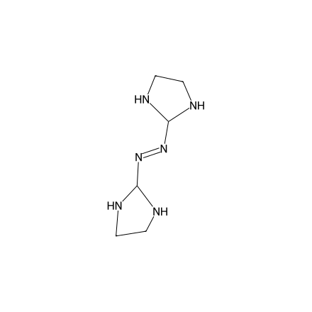 C1CNC(N=NC2NCCN2)N1